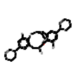 Fc1cc(C2CCCCC2)cc2c1OC1CCC[C@H](C2)Oc2c(F)cc(C3CCCCC3)cc2C1